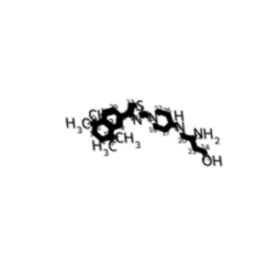 CC1(C)CCC(C)(C)c2cc(-c3csc(N4CCC(NCC(N)CCO)CC4)n3)ccc21